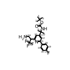 CC(C)(C)OC(=O)NC(C)(C)c1cc(-c2ccc(F)cc2)nc(C(CN)C(F)(F)F)c1